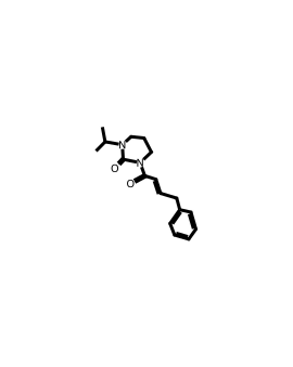 CC(C)N1CCCN(C(=O)/C=C/Cc2ccccc2)C1=O